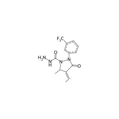 C[C]=C1C(=O)N(c2cccc(C(F)(F)F)c2)N(C(=O)NN)C1C